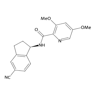 COc1cnc(C(=O)N[C@@H]2CCc3cc(C#N)ccc32)c(OC)c1